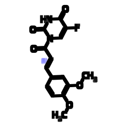 COc1ccc(/C=C/C(=O)n2cc(F)c(=O)[nH]c2=O)cc1OC